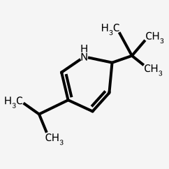 CC(C)C1=CNC(C(C)(C)C)C=C1